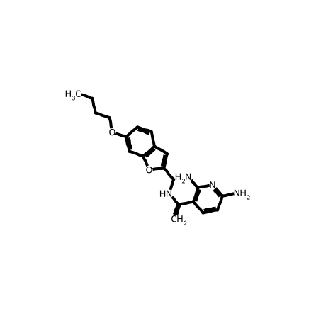 C=C(NCc1cc2ccc(OCCCC)cc2o1)c1ccc(N)nc1N